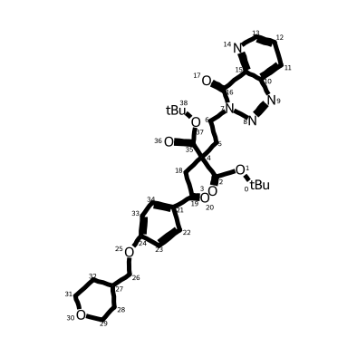 CC(C)(C)OC(=O)C(CCn1nnc2cccnc2c1=O)(CC(=O)c1ccc(OCC2CCOCC2)cc1)C(=O)OC(C)(C)C